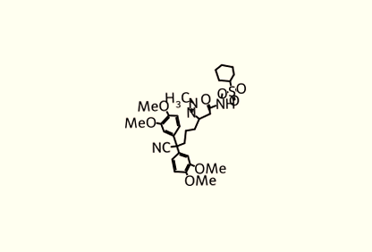 CN=NC(CCCC(C#N)(c1ccc(OC)c(OC)c1)c1ccc(OC)c(OC)c1)CC(=O)NOS(=O)(=O)C1CCCCC1